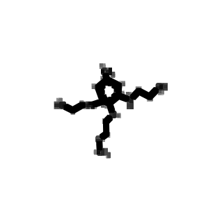 COCCOc1c(NCCO)cc(C)cc1NCCO